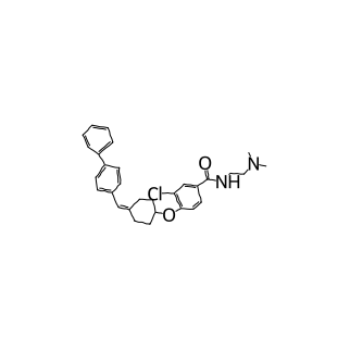 CN(C)CCNC(=O)c1ccc(OC2CCC(=Cc3ccc(-c4ccccc4)cc3)CC2)c(Cl)c1